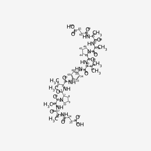 CC(C)C(NC(=O)C1CCCN1C(=O)[C@H](C)NC(=O)[C@H](C)NC(=O)CCC(=O)O)C(=O)Nc1ccc(NC(=O)C(NC(=O)C2CCCN2C(=O)[C@H](C)NC(=O)[C@H](C)NC(=O)CCC(=O)O)C(C)C)cc1